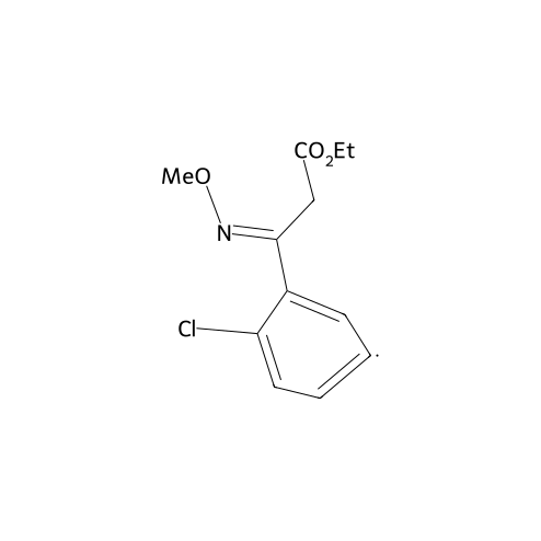 CCOC(=O)CC(=NOC)c1c[c]ccc1Cl